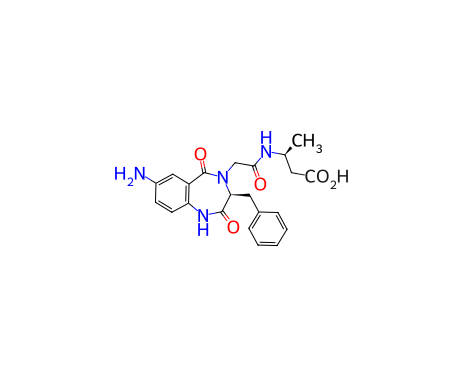 C[C@@H](CC(=O)O)NC(=O)CN1C(=O)c2cc(N)ccc2NC(=O)[C@@H]1Cc1ccccc1